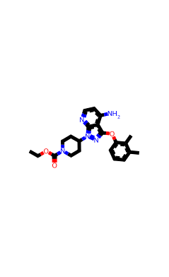 CCOC(=O)N1CCC(n2nc(Oc3cccc(C)c3C)c3c(N)ccnc32)CC1